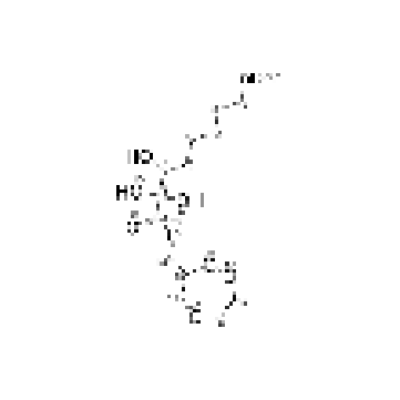 CCCCCCCCCCCCCCCC(O)C(O)(O)C(=O)OCC1COCCOO1